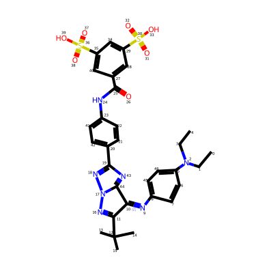 CCN(CC)c1ccc(/N=C2/C(C(C)(C)C)=Nn3nc(-c4ccc(NC(=O)c5cc(S(=O)(=O)O)cc(S(=O)(=O)O)c5)cc4)nc32)cc1